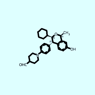 C[C@@H]1O[C@H](C2CCCCC2)[C@@H](c2ccc(N3CCC(C=O)CC3)cc2)c2ccc(O)cc21